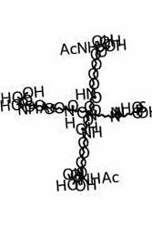 CC(=O)NC1C(OCCOCCOCCOCCNC(=O)CCOCC(COCCC(=O)NCCOCCOCCOCCOC2OC(CO)C(O)C(O)C2NC(C)=O)(COCCC(=O)NCCOCCOCCOCCOC2OC(CO)C(O)C(O)C2NC(C)=O)NC(=O)CCCCCn2cc(CCCCOP(O)(O)=S)nn2)OC(CO)C(O)C1O